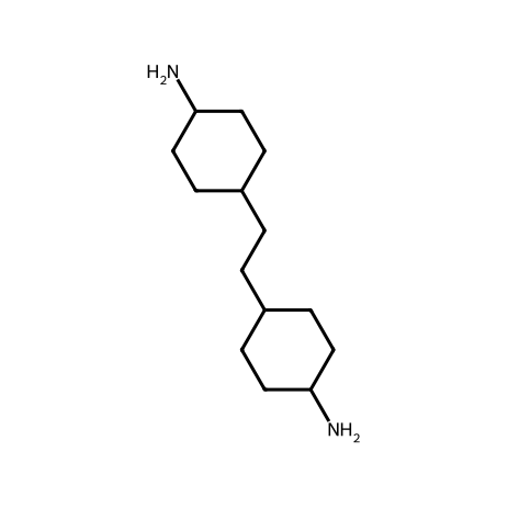 NC1CCC(CCC2CCC(N)CC2)CC1